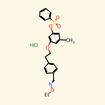 CCON=Cc1ccc(CCOc2cc(C)cc(OS(=O)(=O)c3ccccc3)c2)cc1.Cl